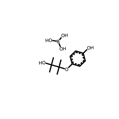 CC(C)(O)C(C)(C)Oc1ccc(O)cc1.OB(O)O